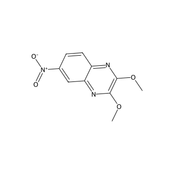 COc1nc2ccc([N+](=O)[O-])cc2nc1OC